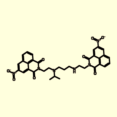 CC(C)N(CCCNCCN1C(=O)c2cccc3cc([N+](=O)[O-])cc(c23)C1=O)CCN1C(=O)c2cccc3cc([N+](=O)[O-])cc(c23)C1=O